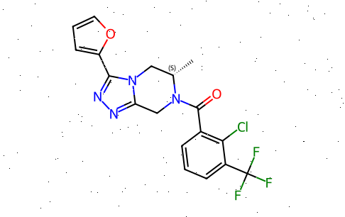 C[C@H]1Cn2c(nnc2-c2ccco2)CN1C(=O)c1cccc(C(F)(F)F)c1Cl